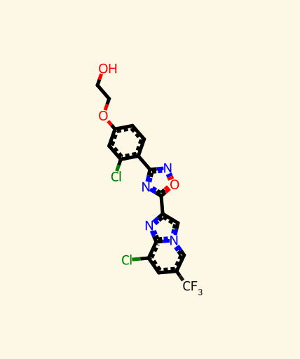 OCCOc1ccc(-c2noc(-c3cn4cc(C(F)(F)F)cc(Cl)c4n3)n2)c(Cl)c1